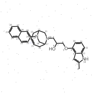 Cc1cc2c(OCC(O)CN3CC4C/C=C\CC3CN4c3ccc4ccccc4c3)cccc2[nH]1